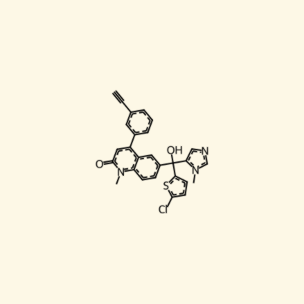 C#Cc1cccc(-c2cc(=O)n(C)c3ccc(C(O)(c4ccc(Cl)s4)c4cncn4C)cc23)c1